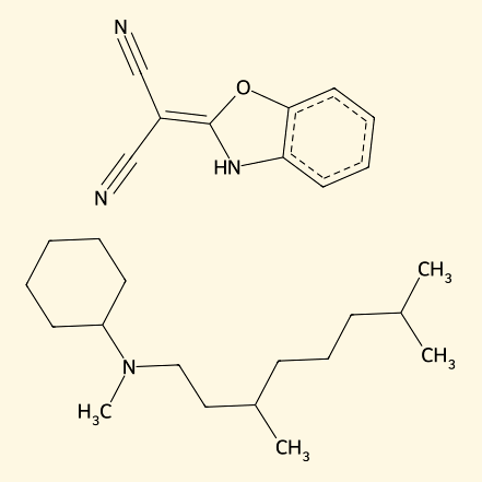 CC(C)CCCC(C)CCN(C)C1CCCCC1.N#CC(C#N)=C1Nc2ccccc2O1